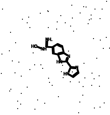 N=C(NO)c1ccc2nc(-c3ncc[nH]3)[nH]c2c1